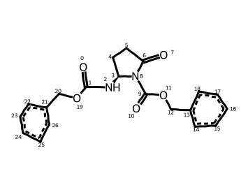 O=C(N[C@H]1CCC(=O)N1C(=O)OCc1ccccc1)OCc1ccccc1